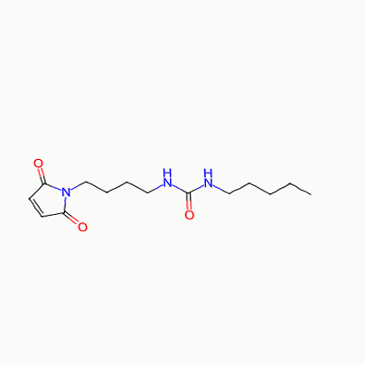 CCCCCNC(=O)NCCCCN1C(=O)C=CC1=O